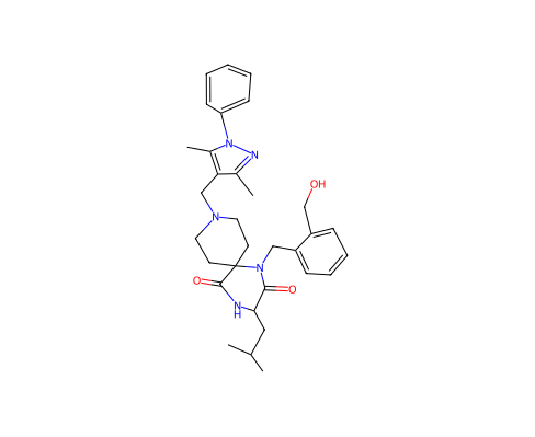 Cc1nn(-c2ccccc2)c(C)c1CN1CCC2(CC1)C(=O)NC(CC(C)C)C(=O)N2Cc1ccccc1CO